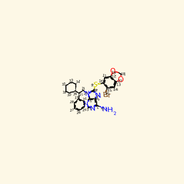 Nc1ncnc2c1nc(Sc1cc3c(cc1Br)OCO3)n2CC(c1ccccc1)C1CCCCC1